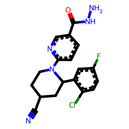 N#CC1CCN(c2ccc(C(=O)NN)cn2)C(c2cc(F)ccc2Cl)C1